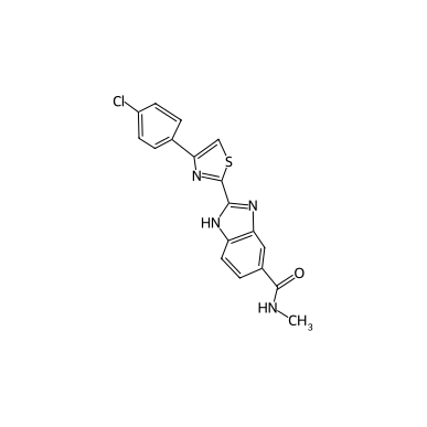 CNC(=O)c1ccc2[nH]c(-c3nc(-c4ccc(Cl)cc4)cs3)nc2c1